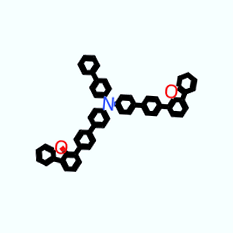 C1=Cc2c(oc3c(-c4ccc(-c5ccc(N(c6ccc(-c7ccccc7)cc6)c6ccc(-c7ccc(-c8cccc9c8oc8ccccc89)cc7)cc6)cc5)cc4)cccc23)CC1